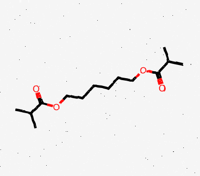 CC(C)C(=O)OCCCCCCOC(=O)C(C)C